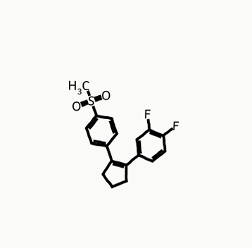 CS(=O)(=O)c1ccc(C2=C(c3ccc(F)c(F)c3)CCC2)cc1